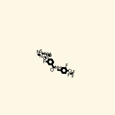 O=C(NCc1ccc(OC(F)(F)F)c(F)c1)c1ccc(S(=O)(=O)Nc2ncns2)c(F)c1